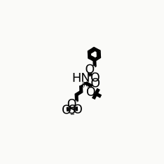 CC(C)(C)OC(=O)[C@@H](CCCCOS(C)(=O)=O)NC(=O)OCc1ccccc1